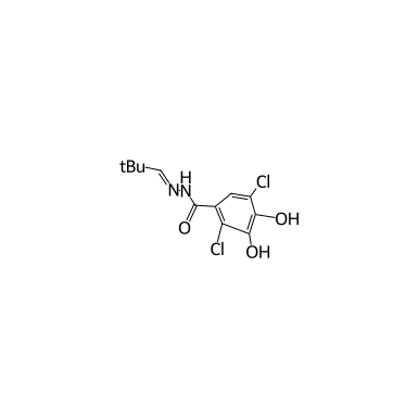 CC(C)(C)/C=N/NC(=O)c1cc(Cl)c(O)c(O)c1Cl